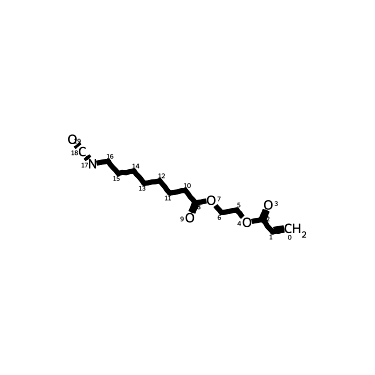 C=CC(=O)OCCOC(=O)CCCCCCCN=C=O